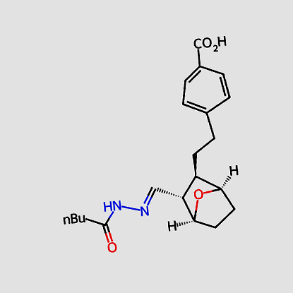 CCCCC(=O)NN=C[C@@H]1[C@@H](CCc2ccc(C(=O)O)cc2)[C@H]2CC[C@@H]1O2